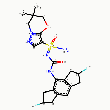 CC1(C)COc2c(S(N)(=O)=NC(=O)Nc3c4c(cc5c3CC(F)C5)CC(F)C4)cnn2C1